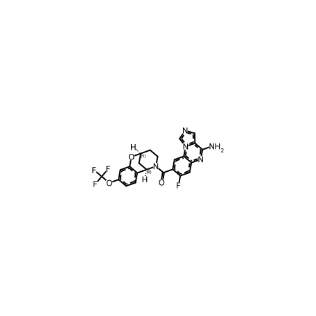 Nc1nc2cc(F)c(C(=O)N3CC[C@H]4C[C@@H]3c3ccc(OC(F)(F)F)cc3O4)cc2n2cncc12